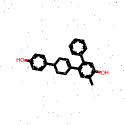 Cc1cc(C2=CCC(c3ccc(O)cc3)CC2)c(-c2ccccc2)cc1O